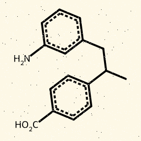 CC(Cc1cccc(N)c1)c1ccc(C(=O)O)cc1